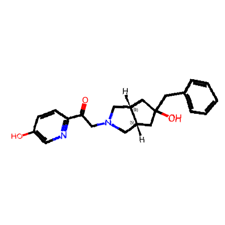 O=C(CN1C[C@@H]2CC(O)(Cc3ccccc3)C[C@@H]2C1)c1ccc(O)cn1